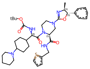 C[C@@H]1N=C(N2CCN(C(=O)[C@H](NC(=O)OC(C)(C)C)C3CCC(N4CCCCC4)CC3)[C@H](C(=O)NCc3cccs3)C2)O[C@H]1c1ccccc1